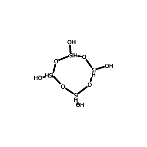 O[SiH]1O[SiH](O)O[SiH](O)O[SiH](O)O1